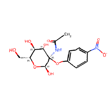 CC(=O)N[C@]1(Oc2ccc([N+](=O)[O-])cc2)[C@@H](O)O[C@H](CO)[C@@H](O)[C@@H]1O